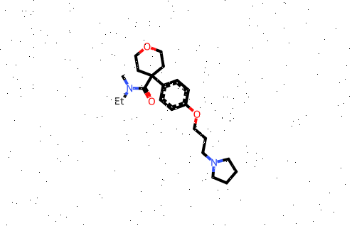 CCN(C)C(=O)C1(c2ccc(OCCCN3CCCC3)cc2)CCOCC1